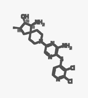 C[C@@H]1CC2(CCN(c3cnc(Sc4ccnc(Cl)c4Cl)c(N)n3)CC2)[C@H](N)[C@H]1O